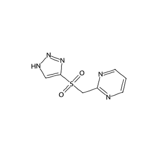 O=S(=O)(Cc1ncccn1)c1c[nH]nn1